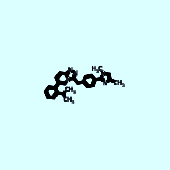 Cc1cn(C)c(-c2ccc(Cc3nnc4ccc(-c5ccccc5C(C)C)cn34)cc2)n1